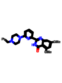 COc1cc(OC)c2c(=O)[nH]c(-c3cccc(N4CCN(CC(C)C)CC4)n3)nc2c1